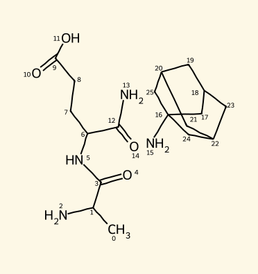 CC(N)C(=O)NC(CCC(=O)O)C(N)=O.NC12CC3CC(CC(C3)C1)C2